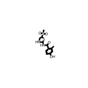 Cc1cc(O)ccc1C(=O)NC1NCC(S(C)(=O)=O)S1